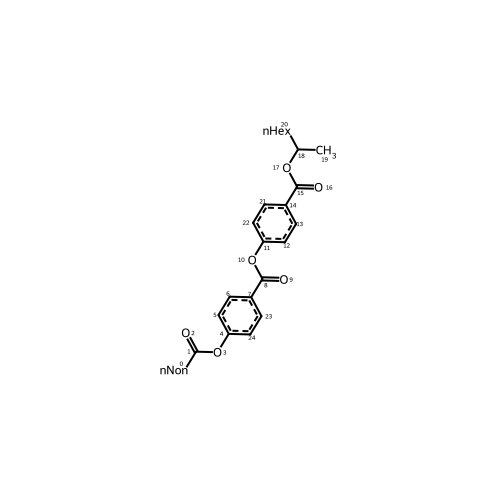 CCCCCCCCCC(=O)Oc1ccc(C(=O)Oc2ccc(C(=O)OC(C)CCCCCC)cc2)cc1